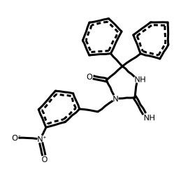 N=C1NC(c2ccccc2)(c2ccccc2)C(=O)N1Cc1cccc([N+](=O)[O-])c1